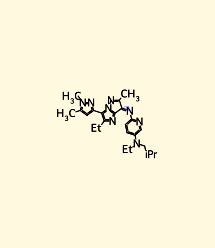 CCc1nc2n(c1-c1cc(C)n(C)n1)N=C(C)/C2=N/c1ccc(N(CC)CC(C)C)cn1